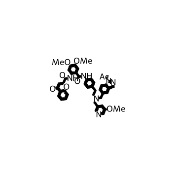 COc1cncc(CN(CCc2ccc(NC(=O)c3cc(OC)c(OC)cc3NC(=O)c3cc(=O)c4ccccc4o3)cc2)Cc2ccc3c(cnn3C(C)=O)c2)c1